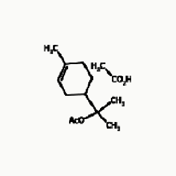 CC(=O)O.CC(=O)OC(C)(C)C1CC=C(C)CC1